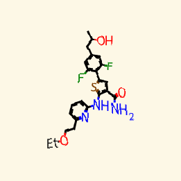 CCOCCc1cccc(Nc2sc(-c3c(F)cc(CC(C)O)cc3F)cc2C(N)=O)n1